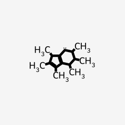 CC1=C(C)C(C)C2=C1C(C)C(C)C(C)[C]2